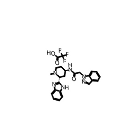 CN1CC[C@@H](NC(=O)Cn2ncc3ccccc32)C[C@@H]1c1nc2ccccc2[nH]1.O=C(O)C(F)(F)F